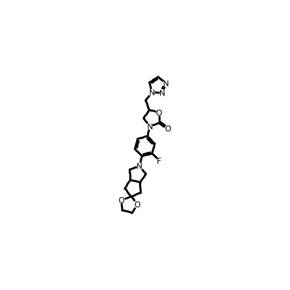 O=C1OC(Cn2ccnn2)CN1c1ccc(N2CC3CC4(CC3C2)OCCO4)c(F)c1